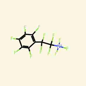 Fc1c(F)c(F)c(C(F)(F)C(F)(F)[N+](F)(F)F)c(F)c1F